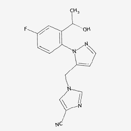 CC(O)c1cc(F)ccc1-n1nccc1Cn1cnc(C#N)c1